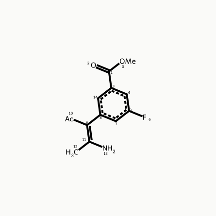 COC(=O)c1cc(F)cc(C(C(C)=O)=C(C)N)c1